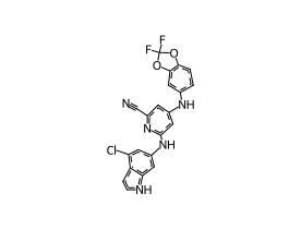 N#Cc1cc(Nc2ccc3c(c2)OC(F)(F)O3)cc(Nc2cc(Cl)c3cc[nH]c3c2)n1